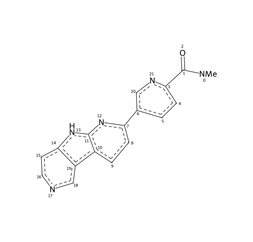 CNC(=O)c1ccc(-c2ccc3c(n2)[nH]c2ccncc23)cn1